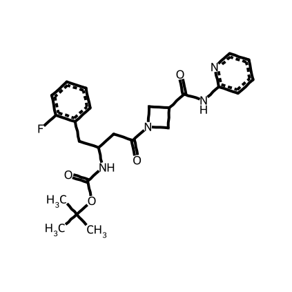 CC(C)(C)OC(=O)NC(CC(=O)N1CC(C(=O)Nc2ccccn2)C1)Cc1ccccc1F